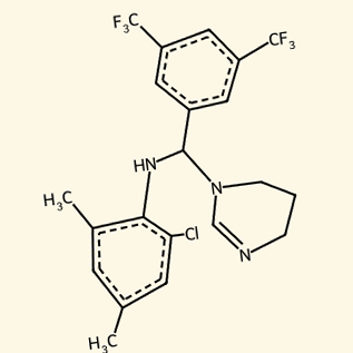 Cc1cc(C)c(NC(c2cc(C(F)(F)F)cc(C(F)(F)F)c2)N2C=NCCC2)c(Cl)c1